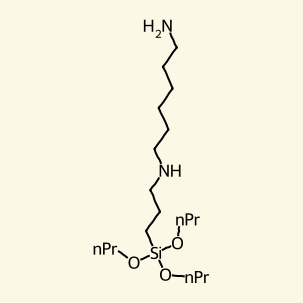 CCCO[Si](CCCNCCCCCCN)(OCCC)OCCC